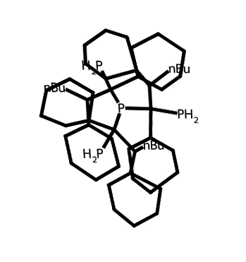 CCCCC(C1CCCCC1)C(P)(C1CCCCC1)P(C(P)(C1CCCCC1)C(CCCC)C1CCCCC1)C(P)(C1CCCCC1)C(CCCC)C1CCCCC1